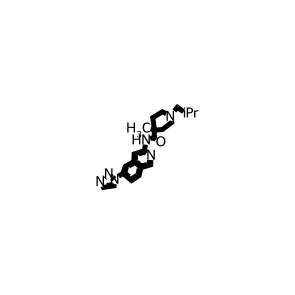 CC(C)CN1CCC(C)(C(=O)Nc2cc3cc(-n4ccnn4)ccc3cn2)CC1